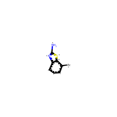 CC(=O)c1cccc2nc(N)sc12